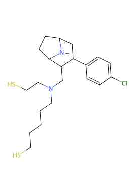 CN1C2CCC1C(CN(CCS)CCCCCS)C(c1ccc(Cl)cc1)C2